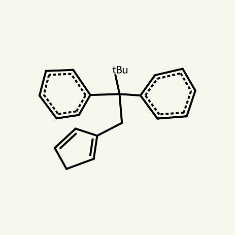 CC(C)(C)C(CC1=CCC=C1)(c1ccccc1)c1ccccc1